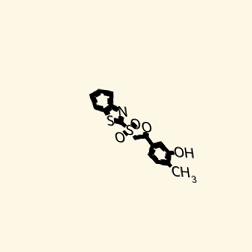 Cc1ccc(C(=O)CS(=O)(=O)c2nc3ccccc3s2)cc1O